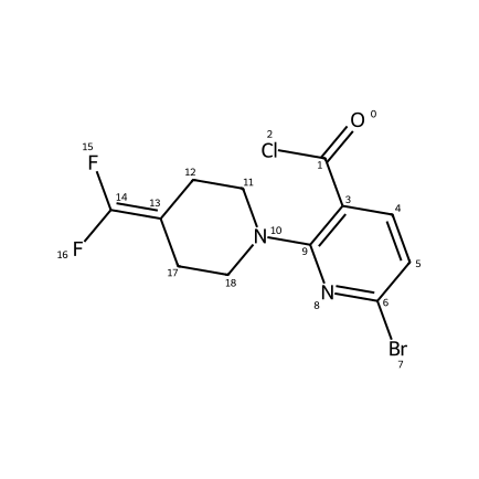 O=C(Cl)c1ccc(Br)nc1N1CCC(=C(F)F)CC1